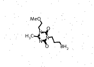 BCCCn1c(=O)nc(C)n(CCOC)c1=O